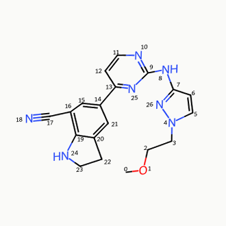 COCCn1ccc(Nc2nccc(-c3cc(C#N)c4c(c3)CCN4)n2)n1